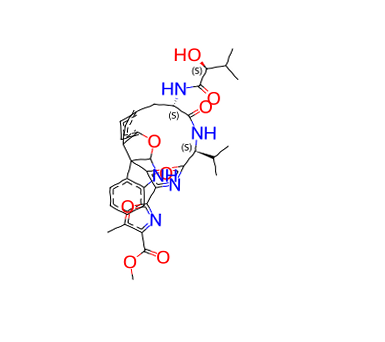 COC(=O)c1nc(-c2nc3oc2C24c5ccccc5NC2Oc2ccc(cc24)C[C@H](NC(=O)[C@@H](O)C(C)C)C(=O)N[C@H]3C(C)C)oc1C